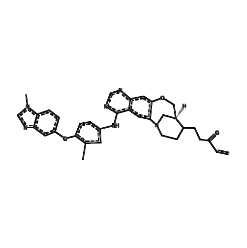 C=CC(=O)CCC1CCN2C[C@H]1COc1cc3ncnc(Nc4ccc(Oc5ccc6c(c5)ncn6C)c(C)c4)c3cc12